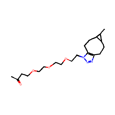 CC(=O)CCOCCOCCOCCn1nnc2c1CCC1C(C)C1CC2